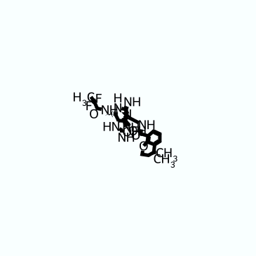 CC(F)(F)C(=O)NC[C@@H]1NC(=N)N2CC(NC(=O)c3cccc4c3OCCC4(C)C)C(O)(O)C23NC(=N)NC13